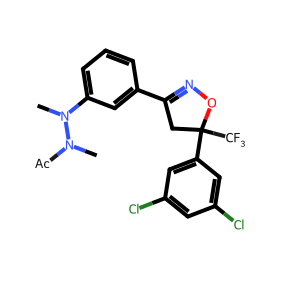 CC(=O)N(C)N(C)c1cccc(C2=NOC(c3cc(Cl)cc(Cl)c3)(C(F)(F)F)C2)c1